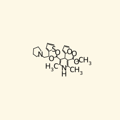 COC(=O)C1=C(C)NC(C)=C(C(=O)OC(CN2CCCCC2)c2cccs2)C1c1ccco1